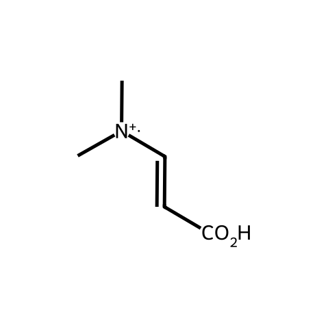 C[N+](C)C=CC(=O)O